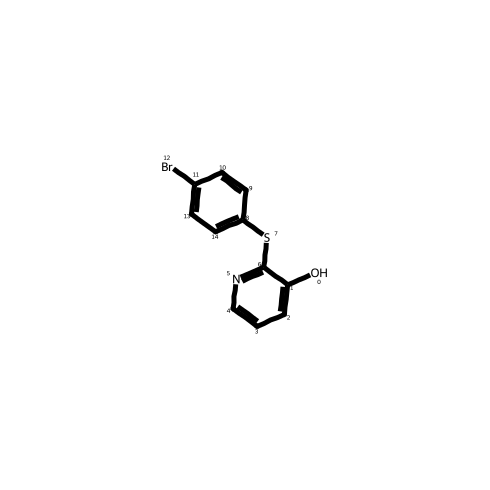 Oc1cccnc1Sc1ccc(Br)cc1